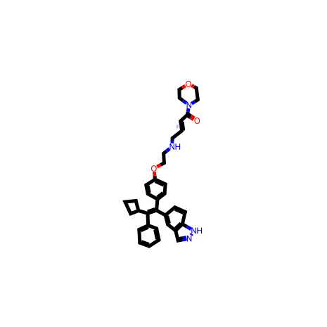 O=C(/C=C/CNCCOc1ccc(C(=C(c2ccccc2)C2CCC2)c2ccc3[nH]ncc3c2)cc1)N1CCOCC1